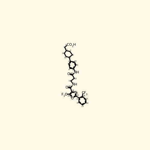 O=C(O)CC1CCC(c2ccc(NC(=O)CCNC(=O)c3nc(-c4ccccc4C(F)(F)F)oc3C(F)(F)F)cc2)CC1